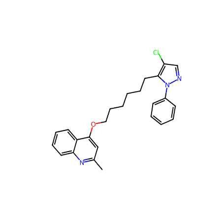 Cc1cc(OCCCCCCc2c(Cl)cnn2-c2ccccc2)c2ccccc2n1